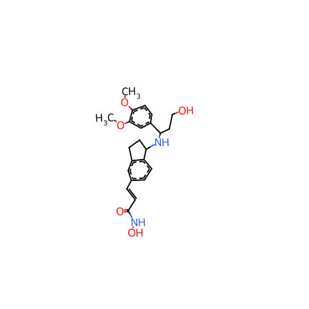 COc1ccc(C(CCO)NC2CCc3cc(/C=C/C(=O)NO)ccc32)cc1OC